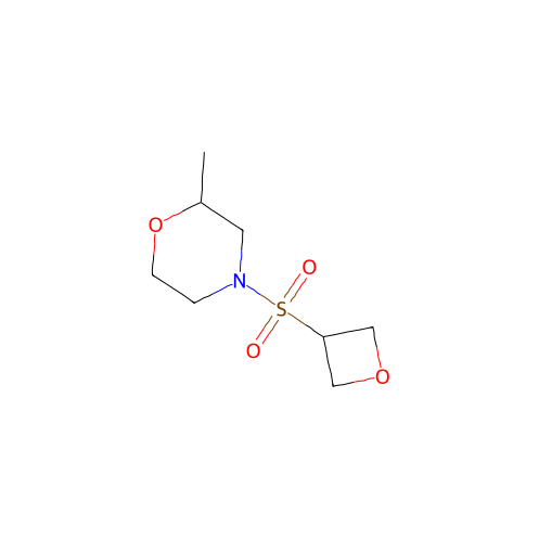 CC1CN(S(=O)(=O)C2COC2)CCO1